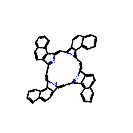 c1ccc2c3c(ccc2c1)-c1cc2[nH]c(cc4nc(cc5[nH]c(cc-3n1)c1ccc3ccccc3c51)-c1ccc3ccccc3c1-4)c1ccc3ccccc3c21